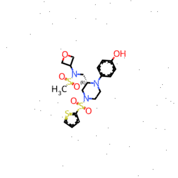 CS(=O)(=O)N(C[C@H]1CN(S(=O)(=O)c2cccs2)CCN1c1ccc(O)cc1)C1COC1